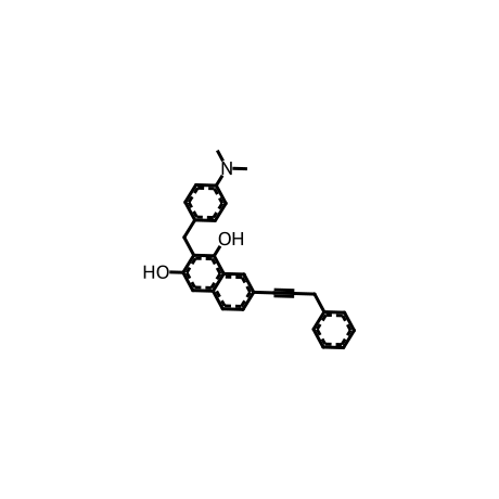 CN(C)c1ccc(Cc2c(O)cc3ccc(C#CCc4ccccc4)cc3c2O)cc1